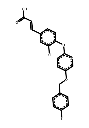 O=C(O)C=Cc1ccc(Oc2ccc(OCc3ccc(F)cc3)cn2)c(Cl)c1